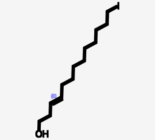 OCC/C=C/CCCCCCCCCI